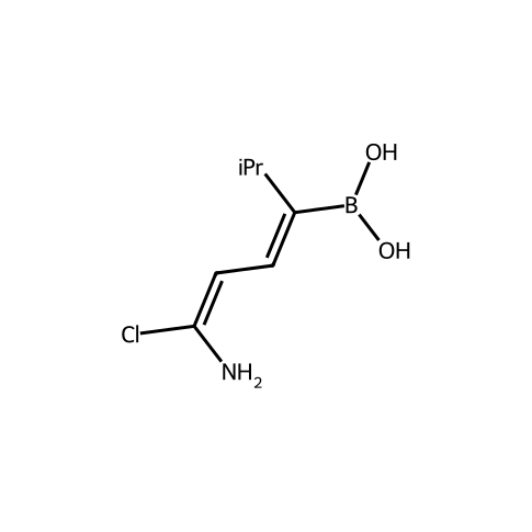 CC(C)/C(=C\C=C(/N)Cl)B(O)O